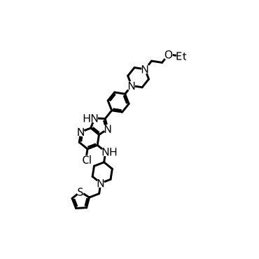 CCOCCN1CCN(c2ccc(-c3nc4c(NC5CCN(Cc6cccs6)CC5)c(Cl)cnc4[nH]3)cc2)CC1